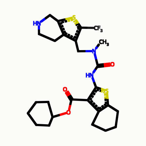 CN(Cc1c(C(F)(F)F)sc2c1CCNC2)C(=O)Nc1sc2c(c1C(=O)OC1CCCCC1)CCCC2